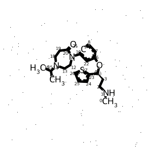 CNCC[C@H](Oc1cccc(N2CCN(C(C)C)CCC2=O)c1)c1cccs1